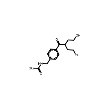 CC(C)(C)C(=O)NCc1ccc(C(=O)C(CCO)CCO)cc1